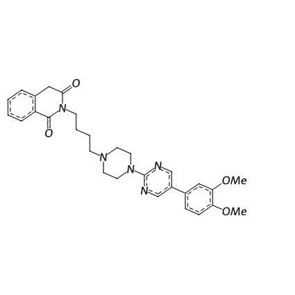 COc1ccc(-c2cnc(N3CCN(CCCCN4C(=O)Cc5ccccc5C4=O)CC3)nc2)cc1OC